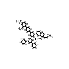 C=Cc1c(/C=C\C)ccc2ccc(-c3cc(-c4ccc(-c5ccc(C)nc5C)cc4)cc(-c4nc(-c5ccccc5)cc(-c5ccccc5)n4)c3)cc12